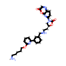 NCCCCCOc1cccc(-c2cccc(CNCC[C@H]3CN(c4ccc5ncc(=O)oc5n4)C(=O)O3)c2)n1